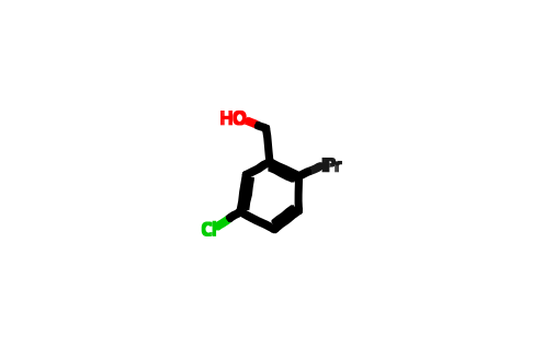 CC(C)c1ccc(Cl)cc1CO